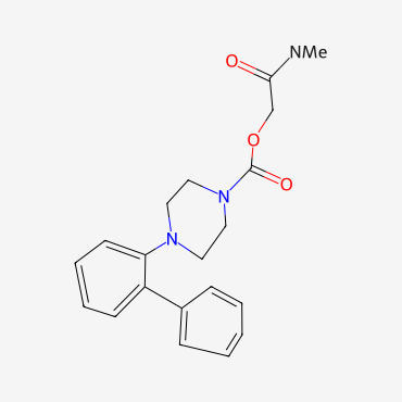 CNC(=O)COC(=O)N1CCN(c2ccccc2-c2ccccc2)CC1